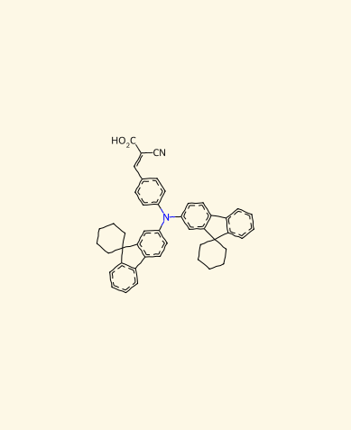 N#C/C(=C\c1ccc(N(c2ccc3c(c2)C2(CCCCC2)c2ccccc2-3)c2ccc3c(c2)C2(CCCCC2)c2ccccc2-3)cc1)C(=O)O